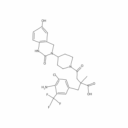 CC(CC(=O)N1CCC(N2Cc3cc(O)ccc3NC2=O)CC1)(Cc1cc(Cl)c(N)c(C(F)(F)F)c1)C(=O)O